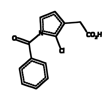 O=C(O)Cc1ccn(C(=O)c2ccccc2)c1Cl